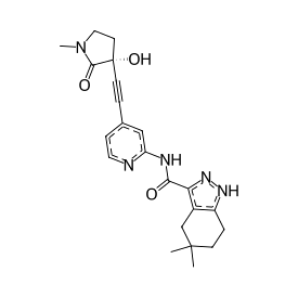 CN1CC[C@@](O)(C#Cc2ccnc(NC(=O)c3n[nH]c4c3CC(C)(C)CC4)c2)C1=O